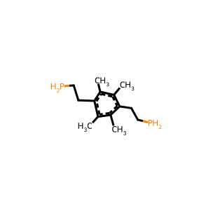 Cc1c(C)c(CCP)c(C)c(C)c1CCP